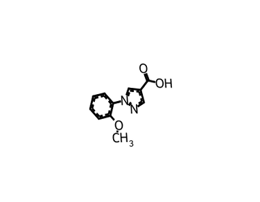 COc1ccccc1-n1cc(C(=O)O)cn1